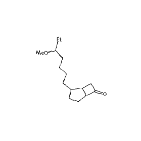 CCC(CCCCC1CCC2C(=O)CC12)OC